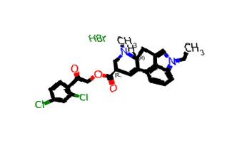 Br.CCn1cc2c3c(cccc31)C1=C[C@@H](C(=O)OCC(=O)c3ccc(Cl)cc3Cl)CN(C)[C@@H]1C2